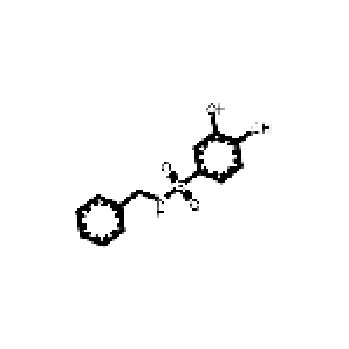 O=S(=O)(NCc1ccccc1)c1ccc(O)c(O)c1